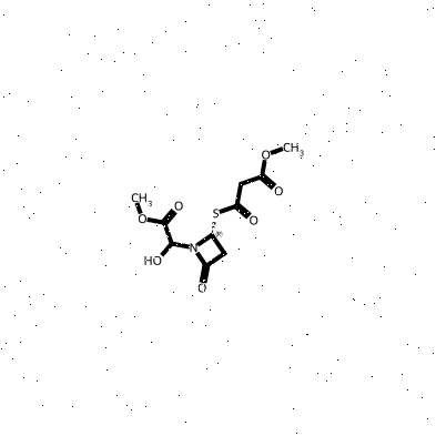 COC(=O)CC(=O)S[C@@H]1CC(=O)N1C(O)C(=O)OC